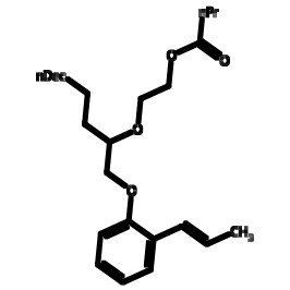 C/C=C/c1ccccc1OCC(CCCCCCCCCCCC)OCCOC(=O)CCC